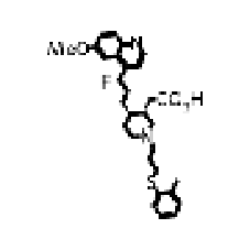 COc1ccc2nccc([C@@H](F)CC[C@@H]3CCN(CCCSc4ccccc4C)C[C@@H]3CC(=O)O)c2c1